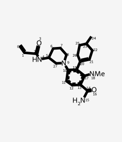 C=CC(=O)NC1CCCN(c2ccc(C(N)=O)c(NC)c2C2=CCC(C)CC2)C1